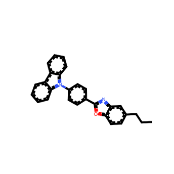 CCCc1ccc2oc(-c3ccc(-n4c5ccccc5c5ccccc54)cc3)nc2c1